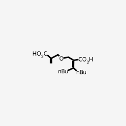 C=C(COCC(C(=O)O)=C(CCCC)CCCC)C(=O)O